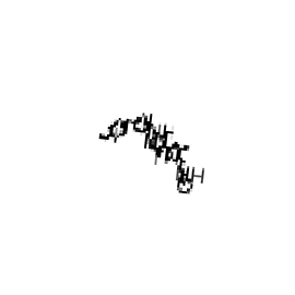 CCN1CCN(Cc2ccc(Nc3ncc(F)c(-c4cc(C)c(CCNC=O)n4C)n3)nc2)CC1